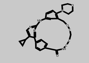 O=C1NCCCCOCc2cc(ccc2N2CCOCC2)Nc2ncc(C3CC3)c(n2)-c2ccc1cc2